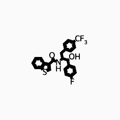 O=C(NC(Cc1ccc(C(F)(F)F)cc1)C(O)c1ccc(F)cc1)c1csc2ccccc12